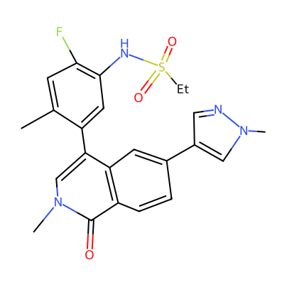 CCS(=O)(=O)Nc1cc(-c2cn(C)c(=O)c3ccc(-c4cnn(C)c4)cc23)c(C)cc1F